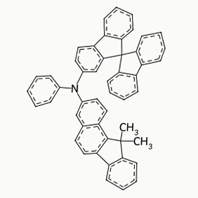 CC1(C)c2ccccc2-c2ccc3cc(N(c4ccccc4)c4ccc5c(c4)C4(c6ccccc6-c6ccccc64)c4ccccc4-5)ccc3c21